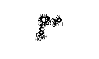 N#C[C@H]1CN(C(=O)[C@@H]2CC[C@@H]3C[C@H]4C[C@H]4C[C@H](NC(=O)c4cc5cc(C(F)(F)P(=O)(O)O)ccc5s4)C(=O)N32)C[C@@]12C(=O)Nc1ccccc12